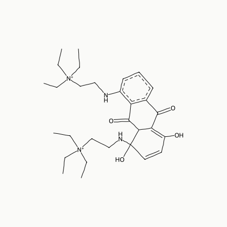 CC[N+](CC)(CC)CCNc1cccc2c1C(=O)C1C(=C(O)C=CC1(O)NCC[N+](CC)(CC)CC)C2=O